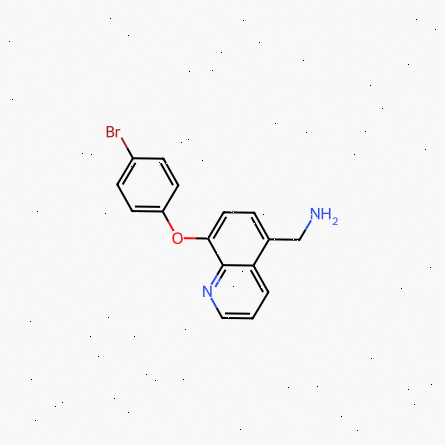 NCc1ccc(Oc2ccc(Br)cc2)c2ncccc12